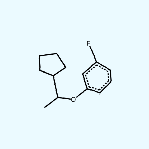 CC(Oc1[c]ccc(F)c1)C1CCCC1